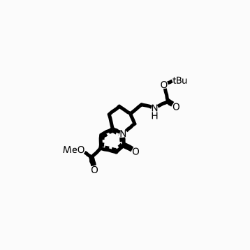 COC(=O)c1cc2n(c(=O)c1)CC(CNC(=O)OC(C)(C)C)CC2